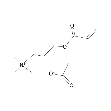 C=CC(=O)OCCC[N+](C)(C)C.CC(=O)[O-]